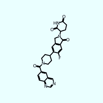 O=C1CCC(N2Cc3cc(C4CCN(C(=O)c5ccc6ncncc6c5)CC4)c(F)cc3C2=O)C(=O)N1